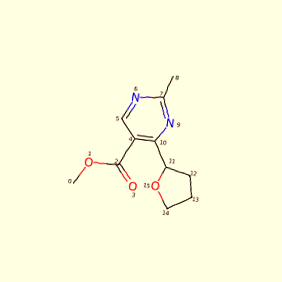 COC(=O)c1cnc(C)nc1C1CCCO1